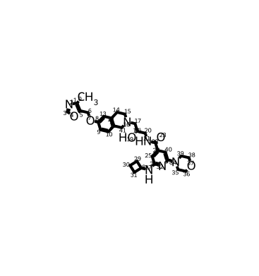 Cc1ncoc1COc1ccc2c(c1)CCN(C[C@@H](O)CNC(=O)c1cc(NC3CCC3)nc(N3CCOCC3)c1)C2